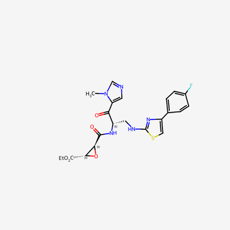 CCOC(=O)[C@H]1O[C@@H]1C(=O)N[C@@H](CNc1nc(-c2ccc(F)cc2)cs1)C(=O)c1cncn1C